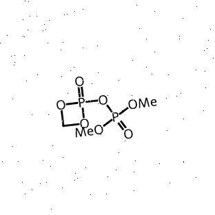 COP(=O)(OC)OP1(=O)OCO1